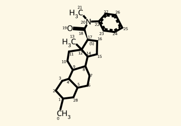 CC1CCC2C(CCC3C2CCC2(C)C3CC[C@@H]2C(=O)N(C)c2ccccc2)C1